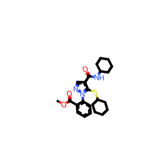 COC(=O)c1ccccc1-n1ncc(C(=O)NC2CCCCC2)c1SC1CCCCC1